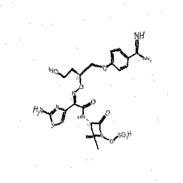 CC1(C)[C@H](NC(=O)/C(=N\O[C@@H](CCO)COc2ccc(C(=N)N)cc2)c2csc(N)n2)C(=O)N1OS(=O)(=O)O